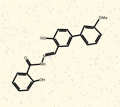 COc1cccc(-c2ccc(O)c(/C=N/NC(=O)c3ccccc3O)c2)c1